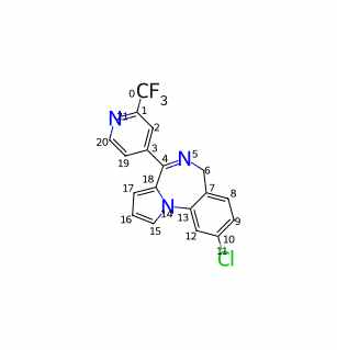 FC(F)(F)c1cc(C2=NCc3ccc(Cl)cc3-n3cccc32)ccn1